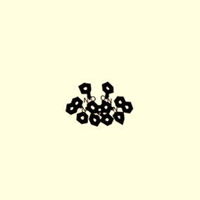 c1ccc(-c2nc3c(N(c4ccccc4)c4cccc5ccccc45)cc4c(c3o2)-c2c(cc(N(c3ccccc3)c3cccc5ccccc35)c3nc(-c5ccccc5)oc23)[Si]4(c2ccccc2)c2ccccc2)cc1